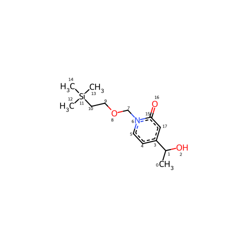 CC(O)c1ccn(COCC[Si](C)(C)C)c(=O)c1